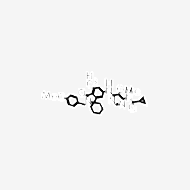 COc1ccc(CN2C(=O)c3c(C)cc(Nc4ncnc(NC(=O)C5CC5)c4OC)cc3C23CCCCC3)cc1